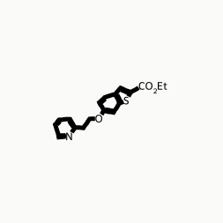 CCOC(=O)c1cc2ccc(OCCc3ccccn3)cc2s1